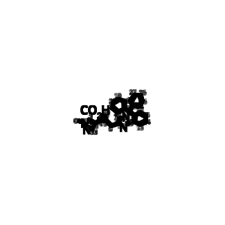 Cn1cc(C2C(Cc3cn(C(c4ccccc4)(c4ccccc4)c4ccccc4)cn3)C2C(=O)O)cn1